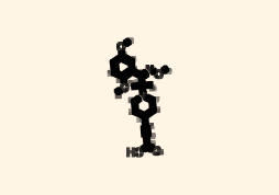 CON=C(c1cc(OC)ccc1OC)C(C)(C)N1CCC(C#CC(=O)O)CC1